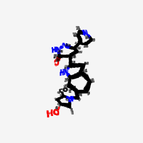 O=C(O)[C@@H]1C[C@@H](O)CN1Cc1ccc2cc(-c3cc(-c4ccncc4)n[nH]c3=O)[nH]c2c1